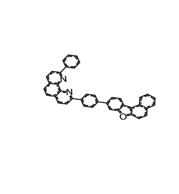 c1ccc(-c2ccc3ccc4ccc(-c5ccc(-c6ccc7c(c6)oc6ccc8ccccc8c67)cc5)nc4c3n2)cc1